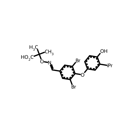 CC(C)c1cc(Oc2c(Br)cc(C=NOC(C)(C)C(=O)O)cc2Br)ccc1O